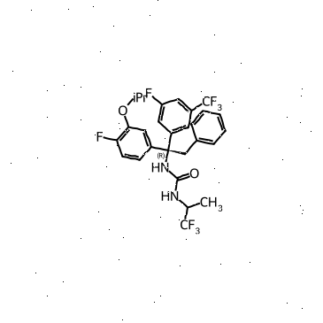 CC(C)Oc1cc([C@@](Cc2ccccc2)(NC(=O)NC(C)C(F)(F)F)c2cc(F)cc(C(F)(F)F)c2)ccc1F